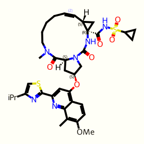 COc1ccc2c(O[C@H]3C[C@H]4C(=O)N(C)CCCC/C=C\[C@@H]5C[C@@]5(C(=O)NS(=O)(=O)C5CC5)NC(=O)N4C3)cc(-c3nc(C(C)C)cs3)nc2c1C